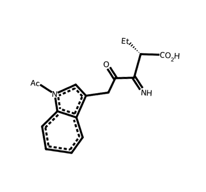 CC[C@@H](C(=N)C(=O)Cc1cn(C(C)=O)c2ccccc12)C(=O)O